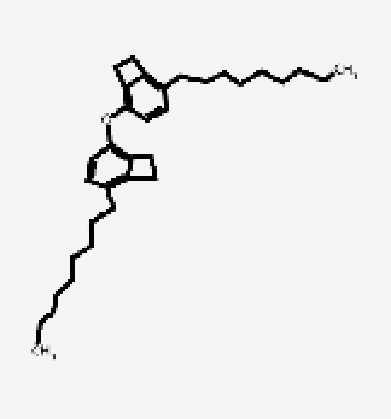 CCCCCCCCCc1ccc(Oc2ccc(CCCCCCCCC)c3c2CC3)c2c1CC2